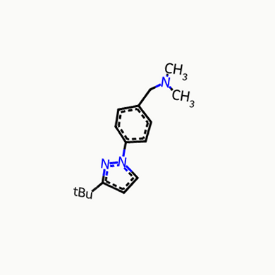 CN(C)Cc1ccc(-n2ccc(C(C)(C)C)n2)cc1